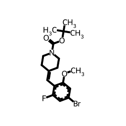 COc1cc(Br)cc(F)c1C=C1CCN(C(=O)OC(C)(C)C)CC1